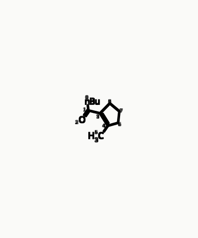 CCCCC(=O)C1=C(C)CCC1